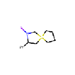 CC(C)C1CS2(CCCC2)CN1I